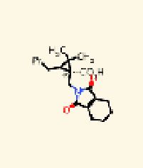 CC(C)CC1C(C)(C)[C@]1(CN1C(=O)C2=C(CCCC2)C1=O)C(=O)O